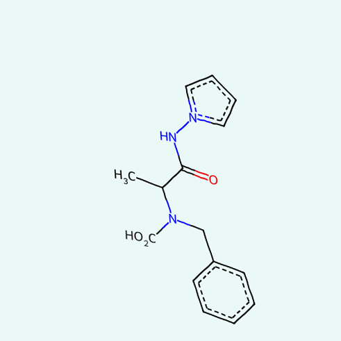 CC(C(=O)Nn1cccc1)N(Cc1ccccc1)C(=O)O